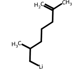 [Li][CH2]C(C)CCCC(=C)C